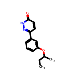 CCC(C)Oc1cccc(-c2ccc(=O)[nH]n2)c1